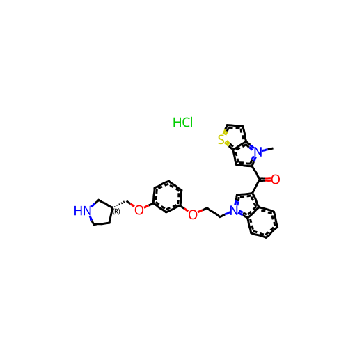 Cl.Cn1c(C(=O)c2cn(CCOc3cccc(OC[C@@H]4CCNC4)c3)c3ccccc23)cc2sccc21